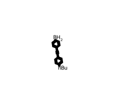 Bc1ccc(C#Cc2ccc(CCCC)cc2)cc1